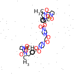 CC(Cc1ccc(OC(=O)N2CCN(C(=O)CC(=O)N3CCN(C(=O)Oc4ccc(CC(C)NC(=O)C5CCCN5S(C)(=O)=O)cc4)CC3)CC2)cc1)NC(=O)C1CCCN1S(C)(=O)=O